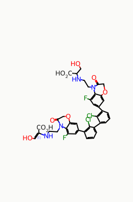 O=C(O)/C(=C\O)NCCN1C(=O)COc2cc(-c3cccc(-c4cccc(-c5cc(F)c6c(c5)OCC(=O)N6CCNC(CO)C(=O)O)c4Cl)c3Cl)cc(F)c21